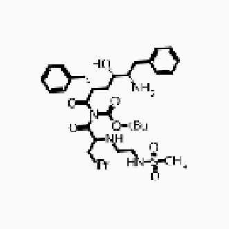 CC(C)CC(NCCNS(C)(=O)=O)C(=O)N(C(=O)OC(C)(C)C)C(=O)[C@H](Cc1ccccc1)C[C@H](O)[C@@H](N)Cc1ccccc1